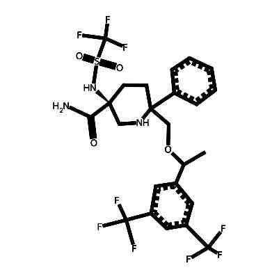 CC(OCC1(c2ccccc2)CC[C@@](NS(=O)(=O)C(F)(F)F)(C(N)=O)CN1)c1cc(C(F)(F)F)cc(C(F)(F)F)c1